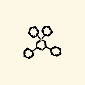 C1=C(c2ccccc2)N=C(c2ccccc2)C=P1(c1ccccc1)c1ccccc1